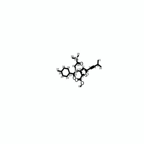 COC(=O)c1sc(C#CC(C)C)cc1N(CC(=O)N(C)C)C(=O)C1CCC(C)CC1